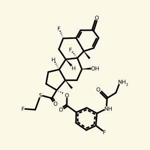 C[C@]12C=CC(=O)C=C1[C@@H](F)C[C@H]1[C@@H]3CC[C@](OC(=O)c4ccc(F)c(NC(=O)CN)c4)(C(=O)SCF)[C@@]3(C)C[C@H](O)[C@@]12F